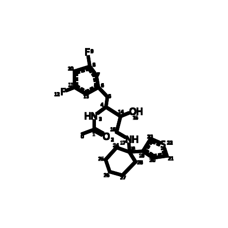 CC(=O)NC(Cc1cc(F)cc(F)c1)C(O)CNC1(c2ccsc2)CCCCC1